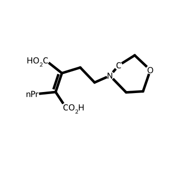 CCCC(C(=O)O)=C(CCN1CCOCC1)C(=O)O